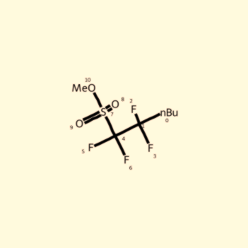 CCCCC(F)(F)C(F)(F)S(=O)(=O)OC